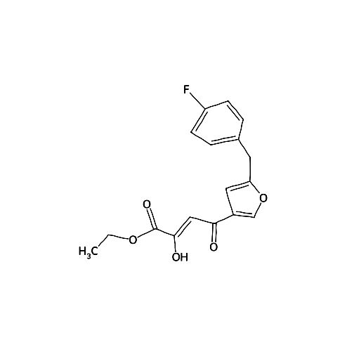 CCOC(=O)C(O)=CC(=O)c1coc(Cc2ccc(F)cc2)c1